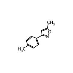 Cc1ccc(-c2cc(C)on2)cc1